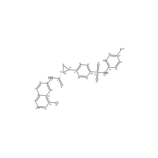 O=C(Nc1ccc2cncc(Cl)c2c1)[C@@H]1CC1c1ccc(S(=O)(=O)Nc2ccc(F)cn2)cc1